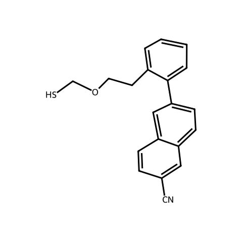 N#Cc1ccc2cc(-c3ccccc3CCOCS)ccc2c1